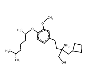 COc1cc(CCC(N)(CO)CC2CCC2)ccc1O[C@@H](C)CCCC(C)C